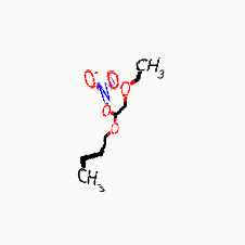 CCCCOC(COCC)O[N+](=O)[O-]